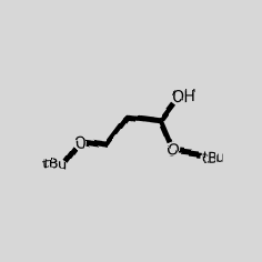 CC(C)(C)OCCC(O)OC(C)(C)C